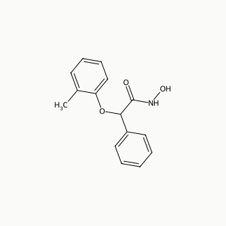 Cc1ccccc1OC(C(=O)NO)c1ccccc1